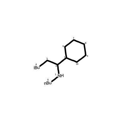 CCCCNC(CC(C)CC)C1CCCCC1